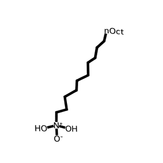 CCCCCCCCCCCCCCCCCC[N+]([O-])(O)O